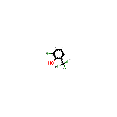 Oc1c(F)cccc1C(F)(F)F